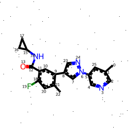 Cc1cncc(-n2cc(-c3cc(C(=O)NC4CC4)c(F)cc3C)cn2)c1